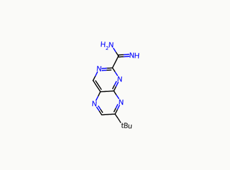 CC(C)(C)c1cnc2cnc(C(=N)N)nc2n1